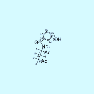 CC(=O)C(C)(C)C(C)(C)C(C)(C(C)=O)N1Cc2c(O)cccc2C1=O